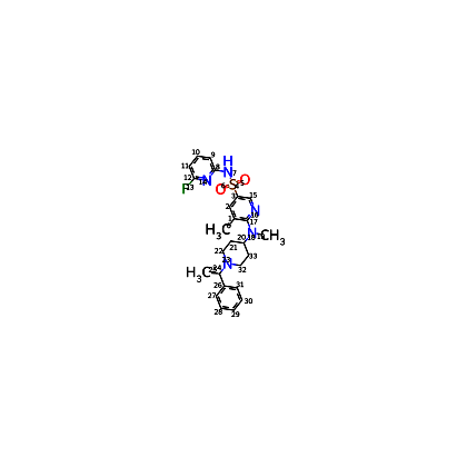 Cc1cc(S(=O)(=O)Nc2cccc(F)n2)cnc1N(C)C1CCN([C@H](C)c2ccccc2)CC1